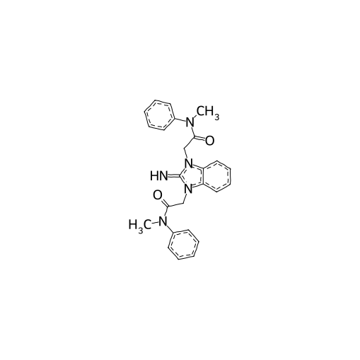 CN(C(=O)Cn1c(=N)n(CC(=O)N(C)c2ccccc2)c2ccccc21)c1ccccc1